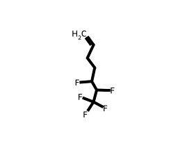 C=CCCC(F)C(F)C(F)(F)F